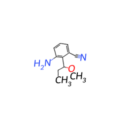 CCC(OC)c1c(N)cccc1C#N